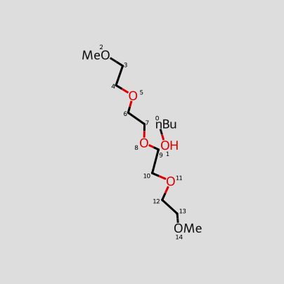 CCCCO.COCCOCCOCCOCCOC